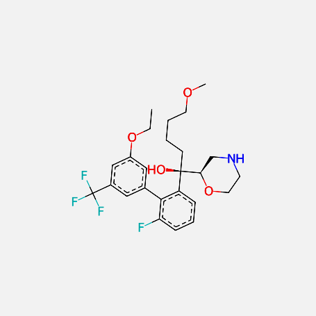 CCOc1cc(-c2c(F)cccc2[C@](O)(CCCCOC)[C@H]2CNCCO2)cc(C(F)(F)F)c1